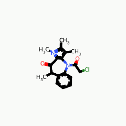 Cc1c2c(n(C)c1C)C(=O)C(C)c1ccccc1N2C(=O)CCl